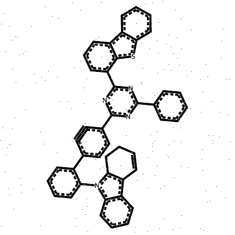 c1c(-c2nc(-c3ccccc3)nc(-c3cccc4c3sc3ccccc34)n2)ccc(-c2ccccc2-n2c3c(c4ccccc42)C=CCC3)c#1